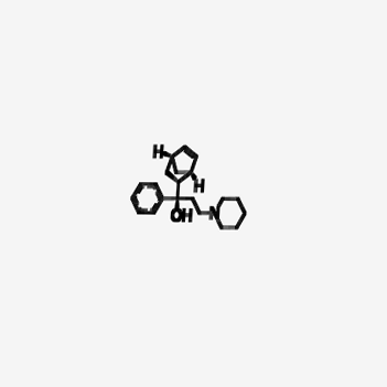 O[C@@](CCN1CCCCC1)(c1ccccc1)[C@H]1C[C@@H]2C=C[C@H]1C2